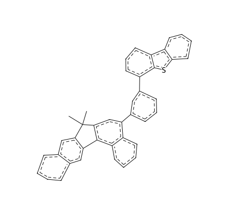 CC1(C)c2cc3ccccc3cc2-c2c1cc(-c1cccc(-c3cccc4c3sc3ccccc34)c1)c1ccccc21